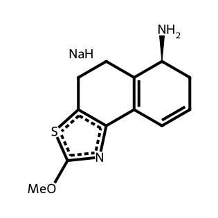 COc1nc2c(s1)CCC1=C2C=CC[C@@H]1N.[NaH]